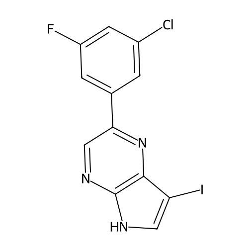 Fc1cc(Cl)cc(-c2cnc3[nH]cc(I)c3n2)c1